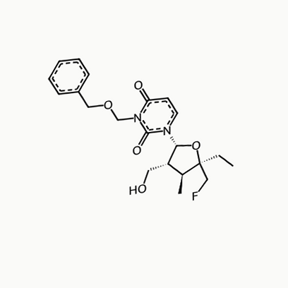 CC[C@@]1(CF)O[C@@H](n2ccc(=O)n(COCc3ccccc3)c2=O)[C@@H](CO)[C@@H]1C